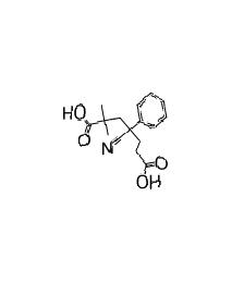 CC(C)(CC(C#N)(CCC(=O)O)c1ccccc1)C(=O)O